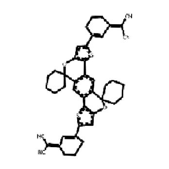 N#CC(C#N)=C1C=C(c2cc3c(s2)-c2cc4c(cc2C2(CCCCC2)O3)-c2sc(C3=CC(=C(C#N)C#N)CCC3)cc2OC42CCCCC2)CCC1